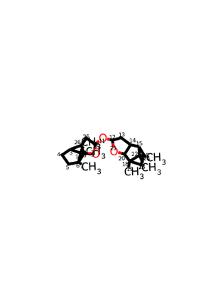 CC1(C)C2CCC1(C)C1OC(OC3CC4C5CCC(C)(C4O3)C5(C)C)CC21